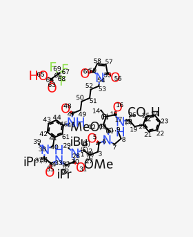 CC[C@H](C)[C@@H]([C@@H](CC(=O)N1CCC[C@H]1[C@H](OC)[C@@H](C)C(=O)N[C@@H](Cc1ccccc1)C(=O)O)OC)N(C)C(=O)[C@@H](NC(=O)[C@H](C(C)C)N(C)Cc1cccc(NC(=O)CCCCCN2C(=O)C=CC2=O)c1)C(C)C.O=C(O)C(F)(F)F